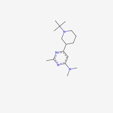 Cc1nc(C2CCCN(C(C)(C)C)C2)cc(N(C)C)n1